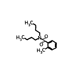 CCCCN(CCCC)S(=O)(=O)c1ccccc1C